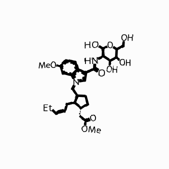 CC/C=C\CC1C(Cn2cc(C(=O)NC3C(O)OC(CO)C(O)C3O)c3ccc(OC)cc32)CC[C@@H]1CC(=O)OC